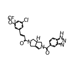 O=C(c1ccc2[nH]nnc2c1)N1C=C2CN(C(=O)C=Cc3cc(Cl)cc(OC(F)(F)F)c3)C[C@@H]2C1